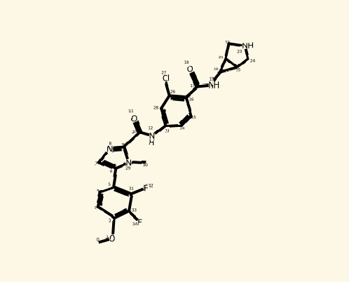 COc1ccc(-c2cnc(C(=O)Nc3ccc(C(=O)NC4C5CNCC54)c(Cl)c3)n2C)c(F)c1F